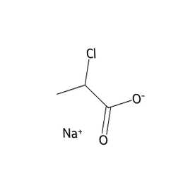 CC(Cl)C(=O)[O-].[Na+]